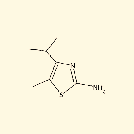 Cc1sc(N)nc1C(C)C